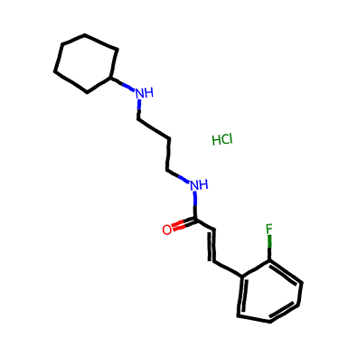 Cl.O=C(C=Cc1ccccc1F)NCCCNC1CCCCC1